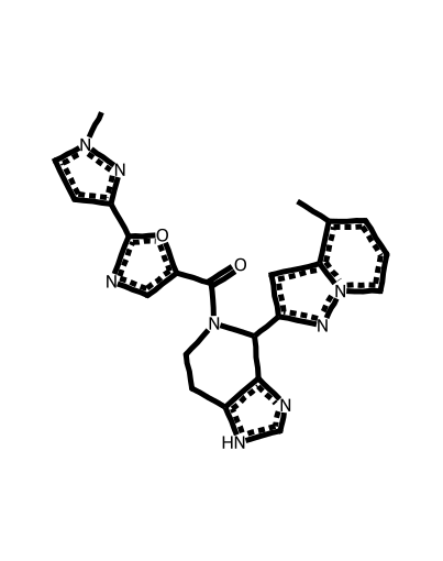 Cc1cccn2nc(C3c4nc[nH]c4CCN3C(=O)c3cnc(-c4ccn(C)n4)o3)cc12